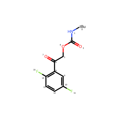 CC(C)(C)NC(=O)OCC(=O)c1cc(F)ccc1F